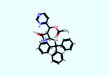 CC(=O)OC(c1ccncn1)C1C(=O)NC1SC(c1ccccc1)(c1ccccc1)c1ccccc1